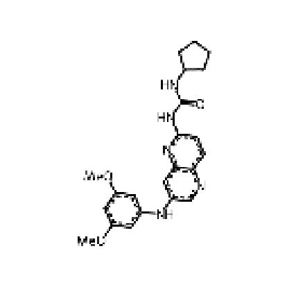 COc1cc(Nc2cnc3ccc(NC(=O)NC4CCCC4)nc3c2)cc(OC)c1